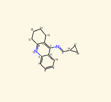 C(=N\c1c2c(nc3ccccc13)CCCC2)/C1CC1